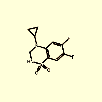 O=S1(=O)NCN(C2CC2)c2cc(F)c(F)cc21